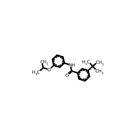 CC(C)Oc1cccc(NC(=O)c2cccc(C(C)(C)C)c2)c1